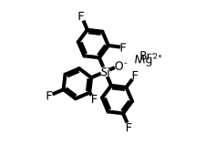 [Br-].[Mg+2].[O-][Si](c1ccc(F)cc1F)(c1ccc(F)cc1F)c1ccc(F)cc1F